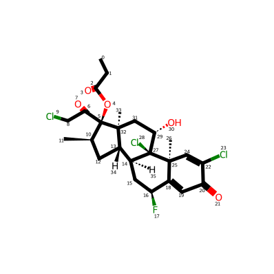 CCC(=O)O[C@]1(C(=O)CCl)[C@H](C)C[C@H]2[C@@H]3C[C@H](F)C4=CC(=O)C(Cl)=C[C@]4(C)[C@@]3(Cl)[C@@H](O)C[C@@]21C